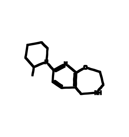 CC1CCCCN1c1ccc2c(n1)OCCNC2